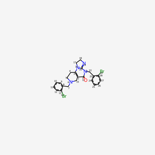 O=C1C2=C(CCN(Cc3ccccc3Br)C2)N2CCN=C2N1Cc1ccccc1Br